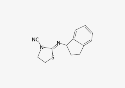 N#CN1CCSC1=NC1CCc2ccccc21